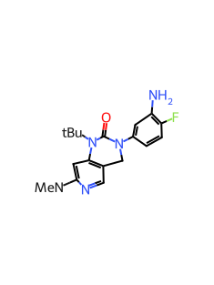 CNc1cc2c(cn1)CN(c1ccc(F)c(N)c1)C(=O)N2C(C)(C)C